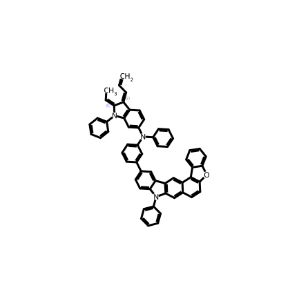 C=C/C=c1\c(=C/C)n(-c2ccccc2)c2cc(N(c3ccccc3)c3cccc(-c4ccc5c(c4)c4cc6c(ccc7oc8ccccc8c76)cc4n5-c4ccccc4)c3)ccc12